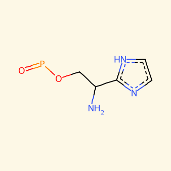 NC(COP=O)c1ncc[nH]1